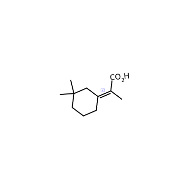 C/C(C(=O)O)=C1\CCCC(C)(C)C1